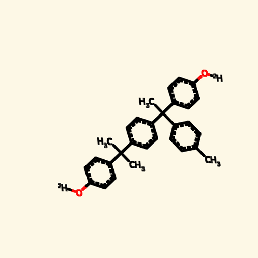 [2H]Oc1ccc(C(C)(C)c2ccc(C(C)(c3ccc(C)cc3)c3ccc(O[2H])cc3)cc2)cc1